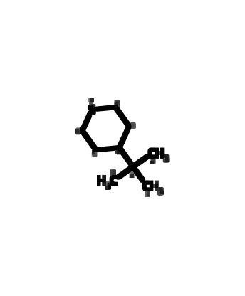 CC(C)(C)C1CCSCC1